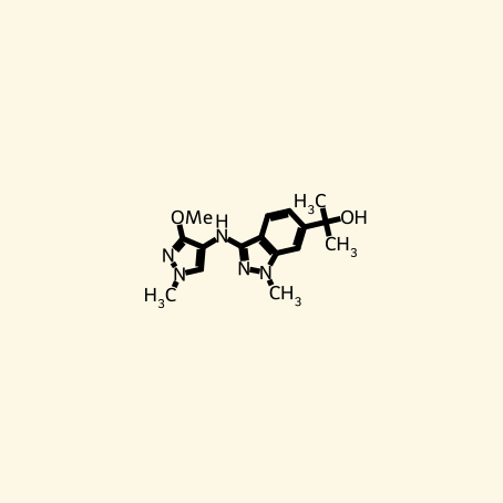 COc1nn(C)cc1Nc1nn(C)c2cc(C(C)(C)O)ccc12